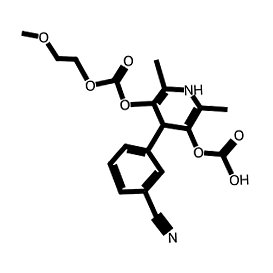 COCCOC(=O)OC1=C(C)NC(C)=C(OC(=O)O)C1c1cccc(C#N)c1